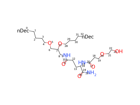 CCCCCCCCCCCCCCOCC(CNC(=O)CCC(NC(=O)CCOCCO)C(N)=O)OCCCCCCCCCCCCCC